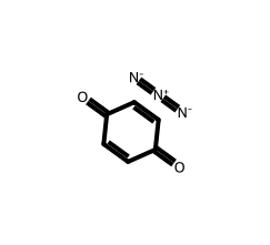 O=C1C=CC(=O)C=C1.[N-]=[N+]=[N-]